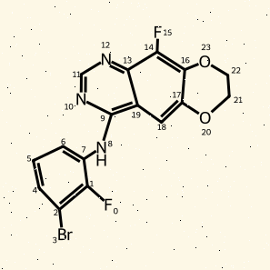 Fc1c(Br)cccc1Nc1ncnc2c(F)c3c(cc12)OCCO3